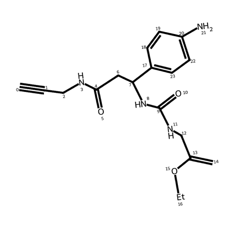 C#CCNC(=O)CC(NC(=O)NCC(=C)OCC)c1ccc(N)cc1